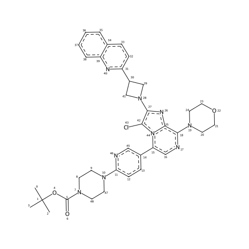 CC(C)(C)OC(=O)N1CCN(c2ccc(-c3cnc(N4CCOCC4)c4nc(N5CC(c6ccc7ccccc7n6)C5)c(Cl)n34)cn2)CC1